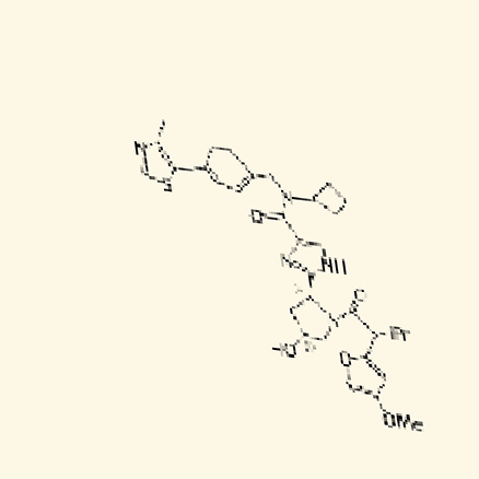 COc1cc(C(C(=O)N2C[C@H](O)C[C@H]2c2nc(C(=O)N(Cc3ccc(-c4scnc4C)cc3)C3CCC3)c[nH]2)C(C)C)on1